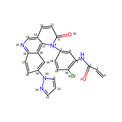 C=CC(=O)Nc1cc(-n2c(=O)ccc3cnc4ccc(-n5cccn5)cc4c32)ccc1Br